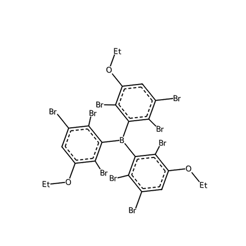 CCOc1cc(Br)c(Br)c(B(c2c(Br)c(Br)cc(OCC)c2Br)c2c(Br)c(Br)cc(OCC)c2Br)c1Br